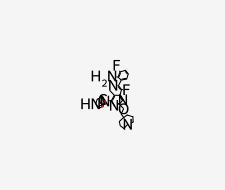 Nc1c(F)cccc1-c1ncc2c(N3CC4CCCC3CN4)nc(OCC34CCCN3CCC4)nc2c1F